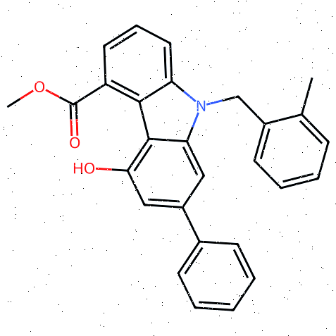 COC(=O)c1cccc2c1c1c(O)cc(-c3ccccc3)cc1n2Cc1ccccc1C